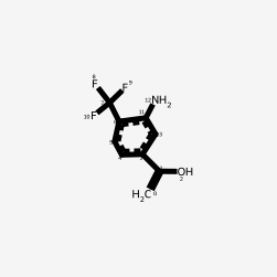 C=C(O)c1ccc(C(F)(F)F)c(N)c1